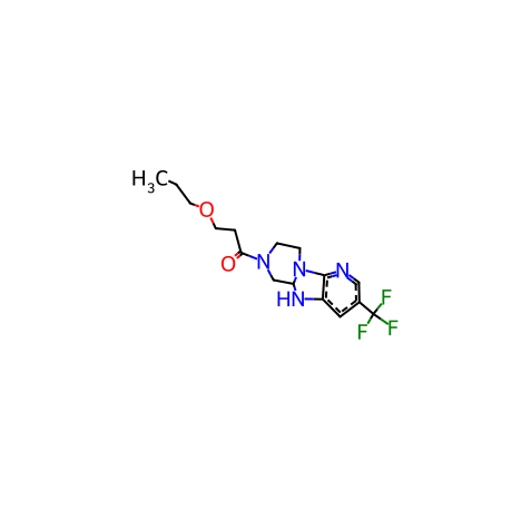 CCCOCCC(=O)N1CCN2c3ncc(C(F)(F)F)cc3NC2C1